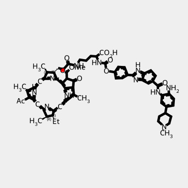 CC[C@H]1c2cc3[nH]c4c(c3C)C(=O)C(C(=O)OC)c4c3nc(cc4[nH]c(cc(n2)[C@@H]1C)c(C(C)=O)c4C)[C@@H](C)[C@@H]3CCC(=O)NCCCC(NC(=O)Oc1ccc(-c2nc3cc(C(=O)Nc4cc(C5CCN(C)CC5)ccc4N)ccc3[nH]2)cc1)C(=O)O